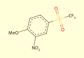 COc1ccc(S(=O)(=O)C(F)(F)F)cc1[N+](=O)[O-]